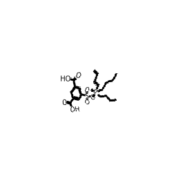 CCCCP(C)(CCCC)(CCCC)OS(=O)(=O)c1cc(C(=O)O)cc(C(=O)O)c1